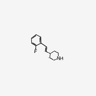 Fc1ccccc1C=CC1[CH]CNCC1